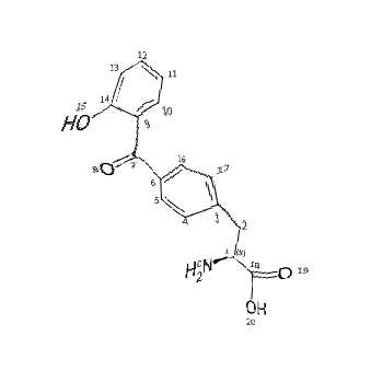 N[C@@H](Cc1ccc(C(=O)c2ccccc2O)cc1)C(=O)O